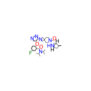 C=C1C[C@@H]2C[C@H]1[C@@H](C(=O)N1CCC3(CC1)CN(c1ncncc1Oc1ccc(F)cc1C(=O)N(C(C)C)C(C)C)C3)N2